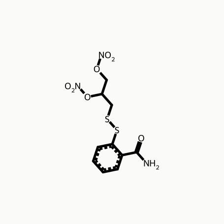 NC(=O)c1ccccc1SSCC(CO[N+](=O)[O-])O[N+](=O)[O-]